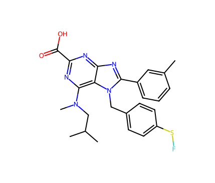 Cc1cccc(-c2nc3nc(C(=O)O)nc(N(C)CC(C)C)c3n2Cc2ccc(SF)cc2)c1